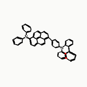 c1ccc(-c2ccccc2N(c2ccccc2)c2ccc(-c3ccc4ccc5c(N(c6ccccc6)c6ccccc6)ccc6ccc3c4c65)cc2)cc1